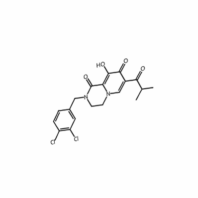 CC(C)C(=O)c1cn2c(c(O)c1=O)C(=O)N(Cc1ccc(Cl)c(Cl)c1)CC2